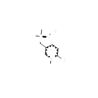 C[SH](O)(Cc1ccc(C(F)(F)F)[n+]([O-])c1)=NC#N